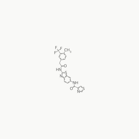 Cc1ccc(CC(=O)Nc2nc3ccc(NC(=O)c4cscn4)cc3s2)cc1C(F)(F)F